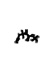 CC(C)(CC#N)NC(=O)OC(C)(C)C